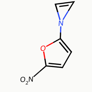 O=[N+]([O-])c1ccc(N2C=C2)o1